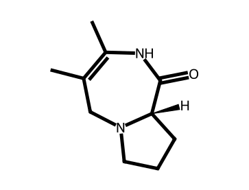 CC1=C(C)NC(=O)[C@@H]2CCCN2C1